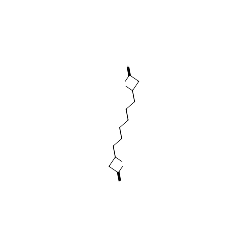 O=C1[CH]C(CCCCCCC2[CH]C(=O)O2)O1